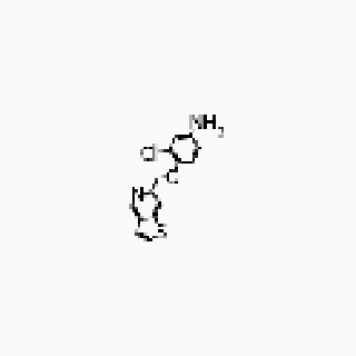 Nc1ccc(OCc2cc3sccc3cn2)c(Cl)c1